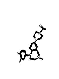 CC(=O)N1CCN(c2ccc3c(c2)CN(C)CCN3c2ccc(F)c(F)c2)CC1